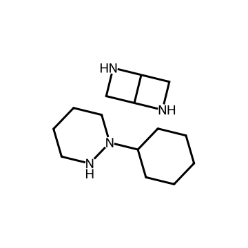 C1CCC(N2CCCCN2)CC1.C1NC2CNC12